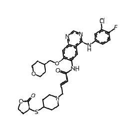 O=C(C=CCN1CCC(SC2CCOC2=O)CC1)Nc1cc2c(Nc3ccc(F)c(Cl)c3)ncnc2cc1OCC1CCOCC1